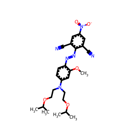 COc1cc(N(CCOC(C)C)CCOC(C)C)ccc1N=Nc1c(C#N)cc([N+](=O)[O-])cc1C#N